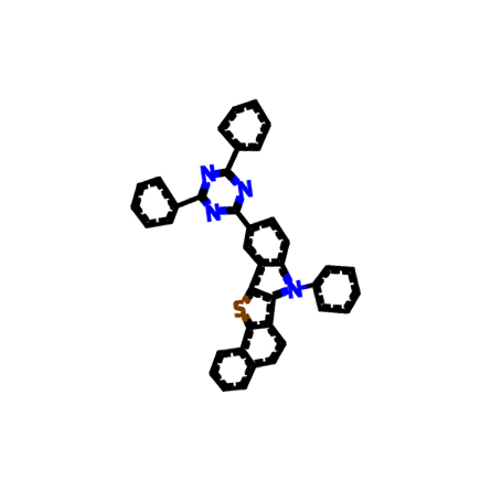 c1ccc(-c2nc(-c3ccccc3)nc(-c3ccc4c(c3)c3sc5c6ccccc6ccc5c3n4-c3ccccc3)n2)cc1